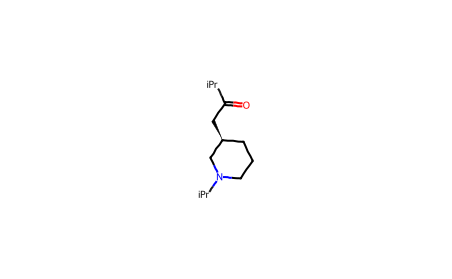 CC(C)C(=O)C[C@H]1CCCN(C(C)C)C1